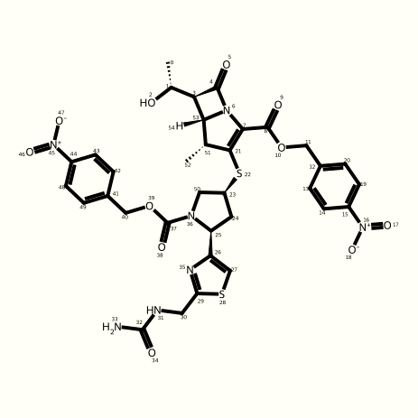 C[C@@H](O)[C@H]1C(=O)N2C(C(=O)OCc3ccc([N+](=O)[O-])cc3)=C(S[C@H]3C[C@@H](c4csc(CNC(N)=O)n4)N(C(=O)OCc4ccc([N+](=O)[O-])cc4)C3)[C@H](C)[C@H]12